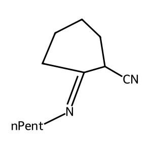 CCCCCN=C1CCCCC1C#N